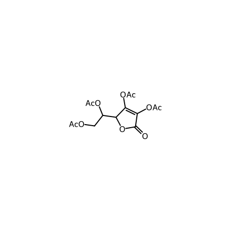 CC(=O)OCC(OC(C)=O)C1OC(=O)C(OC(C)=O)=C1OC(C)=O